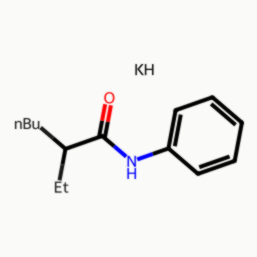 CCCCC(CC)C(=O)Nc1ccccc1.[KH]